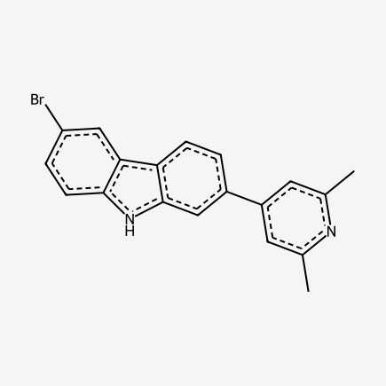 Cc1cc(-c2ccc3c(c2)[nH]c2ccc(Br)cc23)cc(C)n1